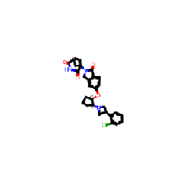 O=C1NC(=O)C2(N3Cc4cc(O[C@@H]5CCC[C@@H]5N5CC(c6ccccc6Cl)C5)ccc4C3=O)CC1C2